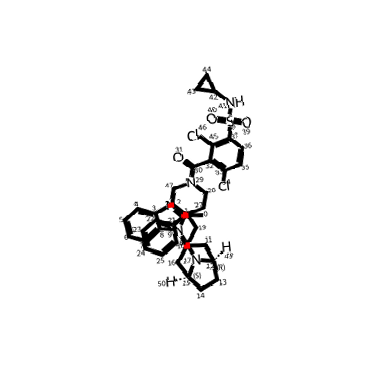 Cc1nc2ccccc2n1C1C[C@H]2CC[C@@H](C1)N2CCC1(c2ccccc2)CCN(C(=O)c2c(Cl)ccc(S(=O)(=O)NC3CC3)c2Cl)CC1